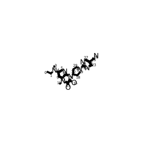 CCN(C)c1cnc2c(c1)n(C)c(=O)c(=O)n2C1CCN(c2ncc(C#N)cn2)CC1